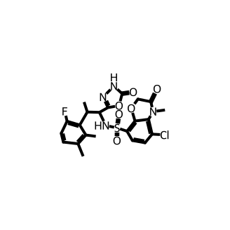 Cc1ccc(F)c(C(C)C(NS(=O)(=O)c2ccc(Cl)c3c2OCC(=O)N3C)c2n[nH]c(=O)o2)c1C